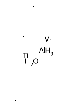 O.[AlH3].[Ti].[V]